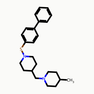 CC1CCN(CC2CCN(Sc3ccc(-c4ccccc4)cc3)CC2)CC1